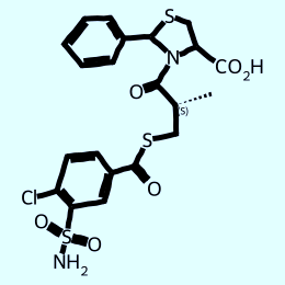 C[C@H](CSC(=O)c1ccc(Cl)c(S(N)(=O)=O)c1)C(=O)N1C(C(=O)O)CSC1c1ccccc1